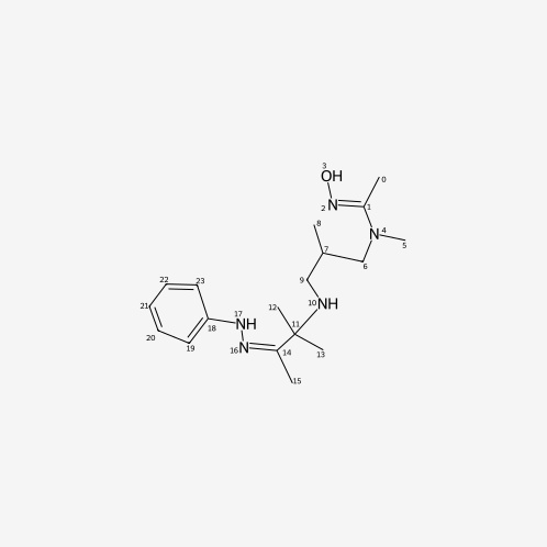 CC(=NO)N(C)CC(C)CNC(C)(C)C(C)=NNc1ccccc1